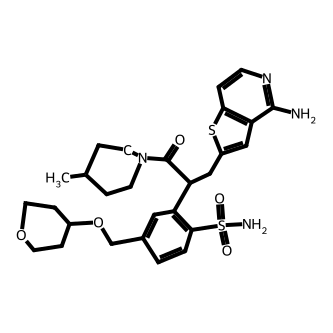 CC1CCN(C(=O)C(Cc2cc3c(N)nccc3s2)c2cc(COC3CCOCC3)ccc2S(N)(=O)=O)CC1